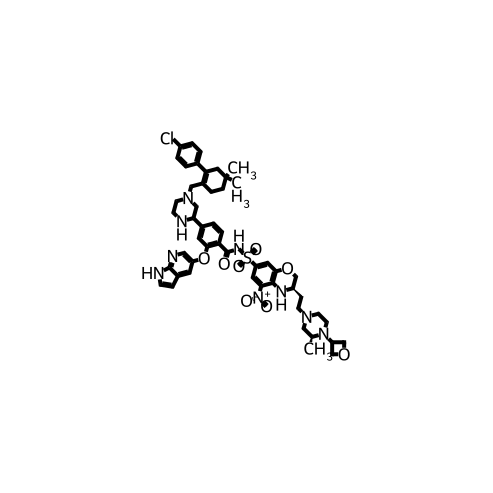 C[C@H]1CN(CC[C@@H]2COc3cc(S(=O)(=O)NC(=O)c4ccc(C5CN(CC6=C(c7ccc(Cl)cc7)CC(C)(C)CC6)CCN5)cc4Oc4cnc5[nH]ccc5c4)cc([N+](=O)[O-])c3N2)CCN1C1COC1